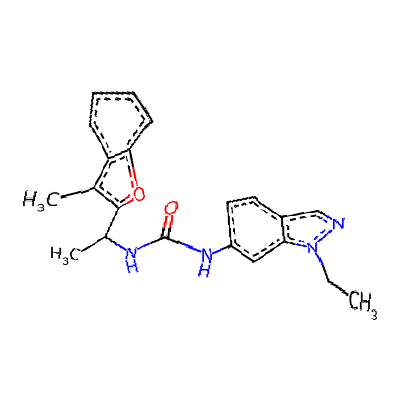 CCn1ncc2ccc(NC(=O)NC(C)c3oc4ccccc4c3C)cc21